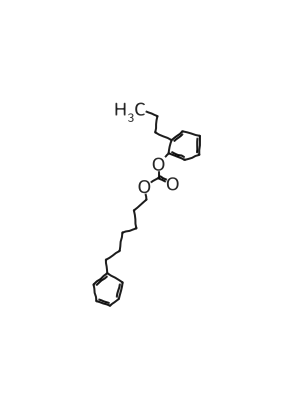 CCCc1ccccc1OC(=O)OCCCCCCc1ccccc1